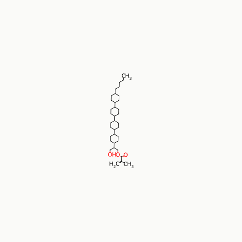 C=C(C)C(=O)OCC(CO)C1CCC(C2CCC(C3CCC(C4CCC(CCCCC)CC4)CC3)CC2)CC1